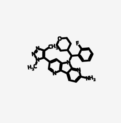 Cc1nnn(C)c1-c1cnc2c3ccc(N)nc3n(C(c3ccccc3F)C3CCOCC3)c2c1